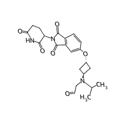 CC(C)N(CC=O)[C@H]1C[C@H](Oc2ccc3c(c2)C(=O)N(C2CCC(=O)NC2=O)C3=O)C1